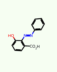 O=C(O)c1cccc(O)c1N=Nc1ccccc1